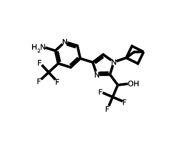 Nc1ncc(-c2cn(C34CC(C3)C4)c(C(O)C(F)(F)F)n2)cc1C(F)(F)F